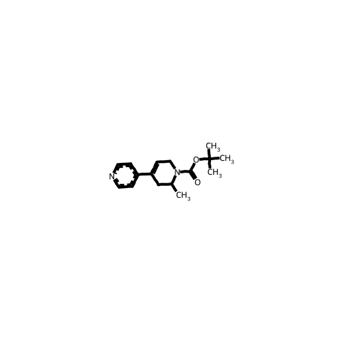 CC1CC(c2ccncc2)=CCN1C(=O)OC(C)(C)C